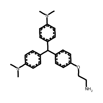 CN(C)c1ccc(C(c2ccc(OCCN)cc2)c2ccc(N(C)C)cc2)cc1